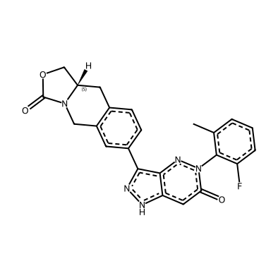 Cc1cccc(F)c1-n1nc2c(-c3ccc4c(c3)CN3C(=O)OC[C@@H]3C4)n[nH]c2cc1=O